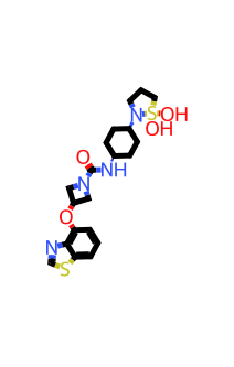 O=C(N[C@H]1CC[C@H](N2CCCS2(O)O)CC1)N1CC(Oc2cccc3scnc23)C1